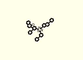 c1ccc(-c2cccc(-c3nc(-c4ccc5cc(-c6ccccc6)ccc5c4)nc(-c4cc(-c5ccccc5)c5c(c4)oc4c6ccccc6ccc45)n3)c2)cc1